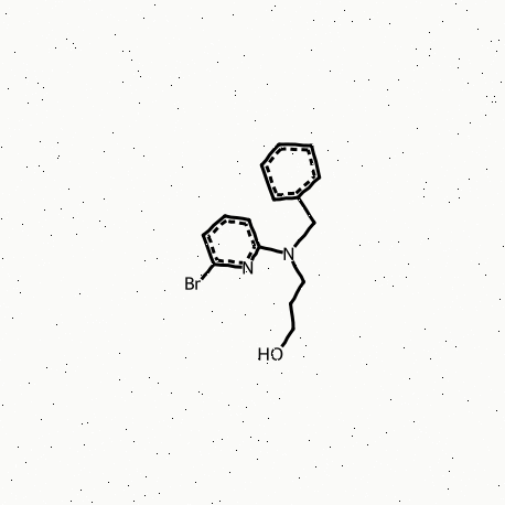 OCCCN(Cc1ccccc1)c1cccc(Br)n1